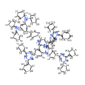 c1ccc(-c2cc(-c3ccc(-c4cc5c6c(c4)N(c4ccccc4)c4ccccc4B6c4ccccc4N5c4ccccc4)cc3)nc(-c3cc(-c4nc(-c5ccccc5)nc(-c5ccccc5)n4)ccc3-n3c4ccc(-c5nc(-c6ccccc6)nc(-c6ccccc6)n5)cc4c4cc(-c5nc(-c6ccccc6)nc(-c6ccccc6)n5)ccc43)n2)cc1